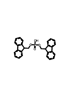 O=P(O)(OCC1c2ccccc2-c2ccccc21)OCC1c2ccccc2-c2ccccc21